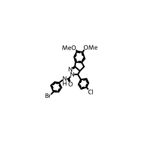 COc1cc2c(cc1OC)C1=NN(C(=O)Nc3ccc(Br)cc3)C(c3ccc(Cl)cc3)C1C2